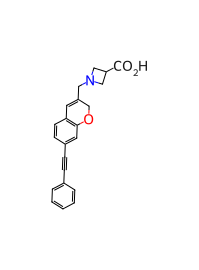 O=C(O)C1CN(CC2=Cc3ccc(C#Cc4ccccc4)cc3OC2)C1